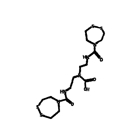 O=C(O)N(CCNC(=O)N1CCSSCC1)CCNC(=O)N1CCSSCC1